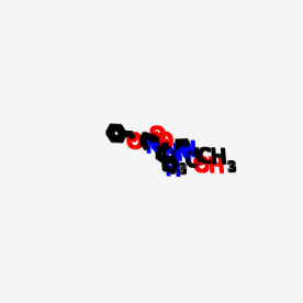 CC(C)(O)Cn1ccc(NC(=O)C(CC2CCCC2)N2CC(OCc3ccccc3)=CC2=O)n1